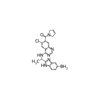 Bc1ccc2[nH]c(C(C)Nc3ncnc4cc(C(=O)N5CC=CC5)c(Cl)cc34)nc2c1